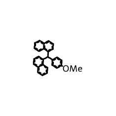 COc1ccc(C(c2cccc3ccccc23)c2cccc3ccccc23)cc1